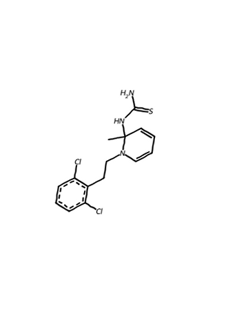 CC1(NC(N)=S)C=CC=CN1CCc1c(Cl)cccc1Cl